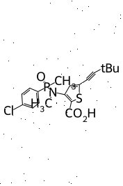 CN(c1cc(C#CC(C)(C)C)sc1C(=O)O)P(C)(=O)c1ccc(Cl)cc1